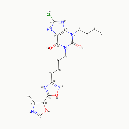 CCCCn1c(=O)n(CCCCc2noc(C3OC=NC3C)n2)c(=O)c2[nH]c(Cl)nc21